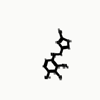 CCc1nc(CNc2ccc(Br)c(Cl)c2N)co1